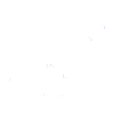 CN1CCN(c2ccc(-c3nc(C(=O)O)c(-c4ccc(Cl)cc4)[nH]3)cc2)CC1